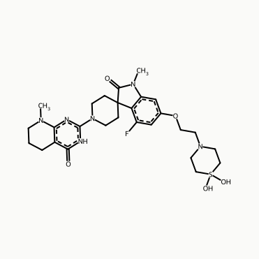 CN1CCCc2c1nc(N1CCC3(CC1)C(=O)N(C)c1cc(OCCN4CCS(O)(O)CC4)cc(F)c13)[nH]c2=O